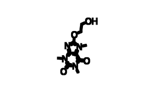 Cn1c(=O)c2c(nc(OCCO)n2C)n(C)c1=O